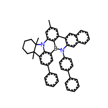 Cc1cc2c3c(c1)N1c4c(cc(-c5ccccc5)cc4C4(C)CCCCC14C)B3N(c1ccc(-c3ccccc3)cc1)c1cc3ccccc3cc1-2